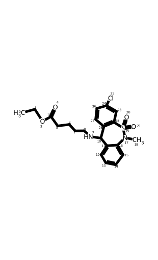 CCOC(=O)CCCCNC1c2ccccc2N(C)S(=O)(=O)c2cc(Cl)ccc21